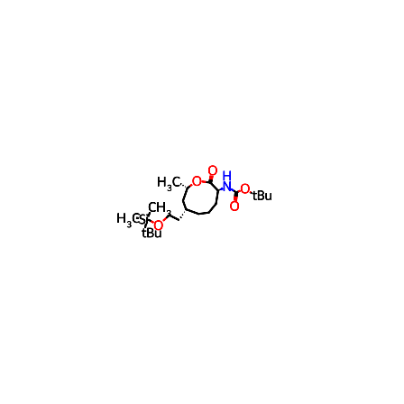 C[C@H]1C[C@@H](CCO[Si](C)(C)C(C)(C)C)CCC[C@H](NC(=O)OC(C)(C)C)C(=O)O1